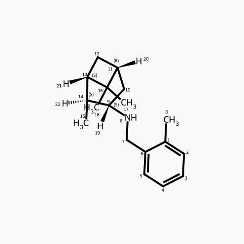 Cc1ccccc1CN[C@H]1C[C@H]2C[C@@H]([C@@H]1C)C2(C)C